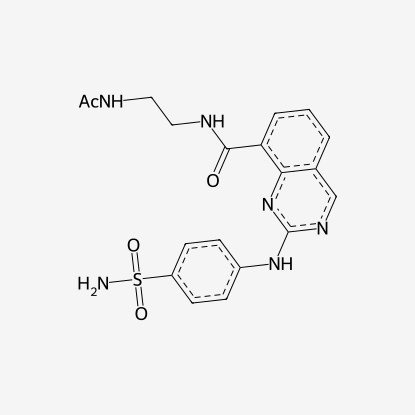 CC(=O)NCCNC(=O)c1cccc2cnc(Nc3ccc(S(N)(=O)=O)cc3)nc12